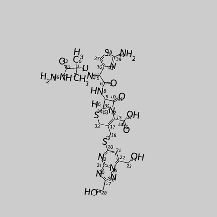 CC(C)(ON=C(C(=O)NC1C(=O)N2C(C(=O)O)=C(CSc3cc(CO)n4nc(CO)nc4n3)CS[C@@H]12)c1csc(N)n1)C(=O)NN